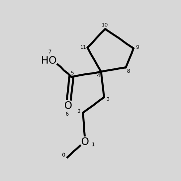 COCCC1(C(=O)O)CCCC1